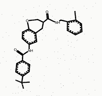 Cc1ccccc1CNC(=O)C1COc2ccc(NC(=O)c3ccc(C(C)(C)C)cc3)cc2C1